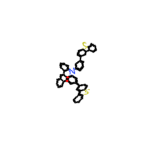 c1cc(-c2ccc3sc4ccccc4c3c2)cc(N(c2cccc(-c3ccc4sc5ccccc5c4c3)c2)c2ccccc2-c2ccc3ccccc3c2)c1